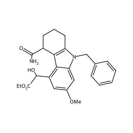 CCOC(=O)C(O)c1cc(OC)cc2c1c1c(n2Cc2ccccc2)CCCC1C(N)=O